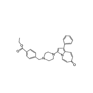 CCOC(=O)c1ccc(CN2CCN(c3cc(-c4ccccc4)c4ccc(=O)ccn34)CC2)cc1